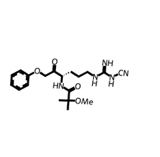 COC(C)(C)C(=O)N[C@@H](CCCNC(=N)NC#N)C(=O)COc1ccccc1